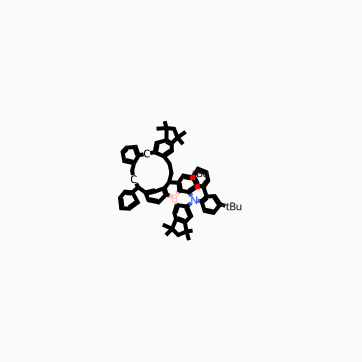 CC(C)(C)c1ccc(N2c3cc4c(cc3B3c5ccc6cc5C(CCc5cc7c(cc5Cc5ccccc5CCC6c5ccccc5)C(C)(C)CC7(C)C)c5cc(C(C)(C)C)cc2c53)C(C)(C)CC4(C)C)c(-c2ccccc2)c1